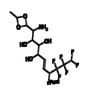 CCCCCC(/C=C/C(O)C(O)C(O)C(N)C1OC(C)O1)C(F)(F)C(F)(F)C(F)F